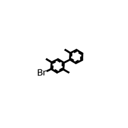 Cc1cc(-c2ccccc2C)c(C)cc1Br